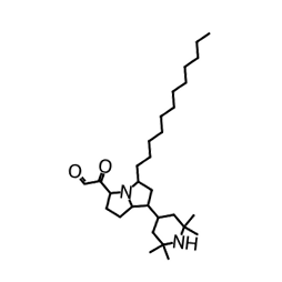 CCCCCCCCCCCCC1CC(C2CC(C)(C)NC(C)(C)C2)C2CCC(C(=O)C=O)N12